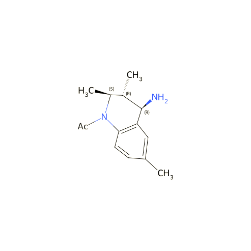 CC(=O)N1c2ccc(C)cc2[C@H](N)[C@@H](C)[C@@H]1C